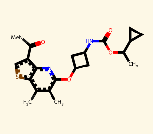 CNC(=O)c1csc2c(C(F)(F)F)c(C)c(OC3CC(NC(=O)OC(C)C4CC4)C3)nc12